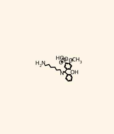 COc1cc(O)c(/C(=N\CCCCCCN)c2ccccc2)cc1S(=O)(=O)O